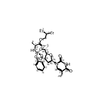 CCC(CC)COC(=O)[C@H](C)N[P@](=O)(Oc1ccccc1)O[C@H](C)[C@H]1O[C@@H](n2cc(F)c(=O)[nH]c2=O)C[C@@H]1O